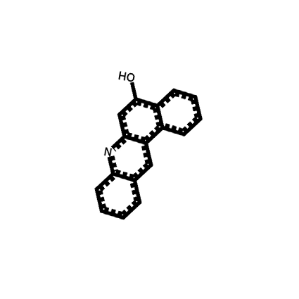 Oc1cc2nc3ccccc3cc2c2ccccc12